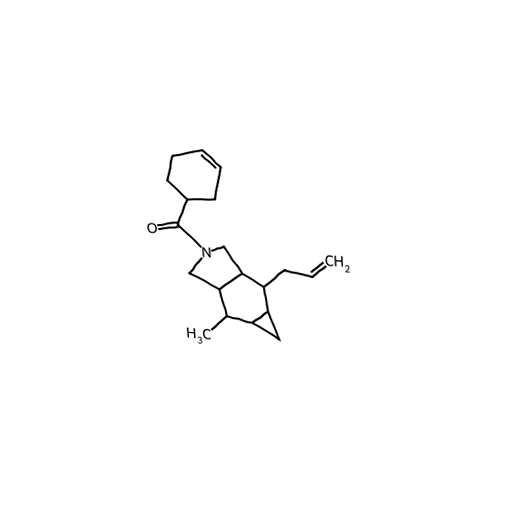 C=CCC1C2CC2C(C)C2CN(C(=O)C3CC=CCC3)CC21